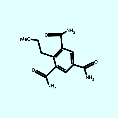 COCCc1c(C(N)=O)cc(C(N)=O)cc1C(N)=O